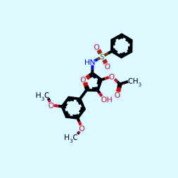 COc1cc(OC)cc(-c2oc(NS(=O)(=O)c3ccccc3)c(OC(C)=O)c2O)c1